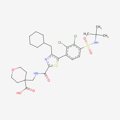 CC(C)(C)NS(=O)(=O)c1ccc(-c2sc(C(=O)NCC3(C(=O)O)CCOCC3)nc2CC2CCCCC2)c(Cl)c1Cl